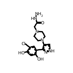 NNC(=O)CN1CCN(c2c[nH]nc2-c2cc(Cl)c(O)cc2O)CC1